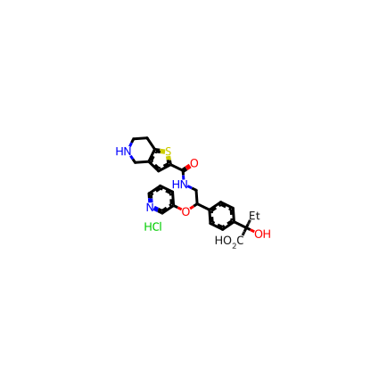 CCC(O)(C(=O)O)c1ccc(C(CNC(=O)c2cc3c(s2)CCNC3)Oc2cccnc2)cc1.Cl